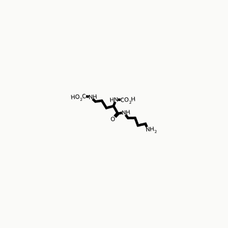 NCCCCNC(=O)C(CCCNC(=O)O)NC(=O)O